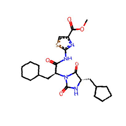 COC(=O)c1csc(NC(=O)[C@H](CC2CCCCC2)N2C(=O)N[C@@H](CC3CCCC3)C2=O)n1